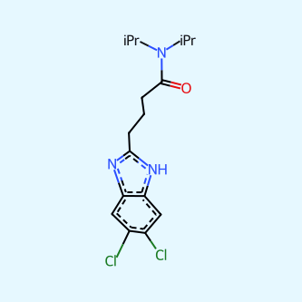 CC(C)N(C(=O)CCCc1nc2cc(Cl)c(Cl)cc2[nH]1)C(C)C